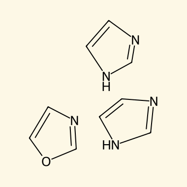 c1c[nH]cn1.c1c[nH]cn1.c1cocn1